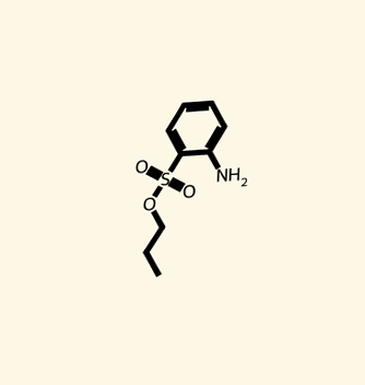 CCCOS(=O)(=O)c1ccccc1N